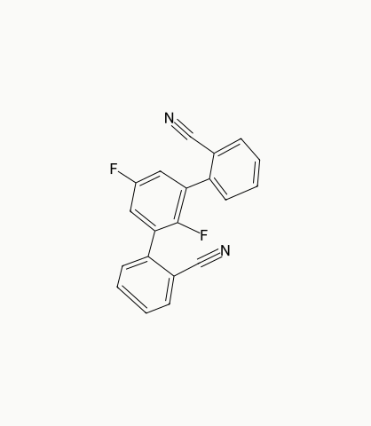 N#Cc1ccccc1-c1cc(F)cc(-c2ccccc2C#N)c1F